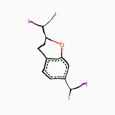 IC(I)c1ccc2c(c1)OC(C(I)I)C2